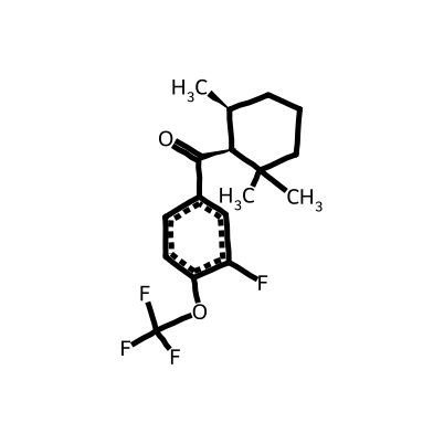 C[C@H]1CCCC(C)(C)[C@H]1C(=O)c1ccc(OC(F)(F)F)c(F)c1